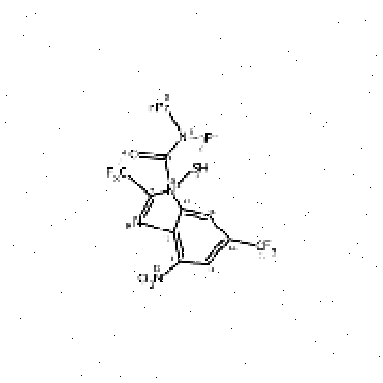 CCCN(CCC)C(=O)[N+]1(S)C(C(F)(F)F)=Nc2c([N+](=O)[O-])cc(C(F)(F)F)cc21